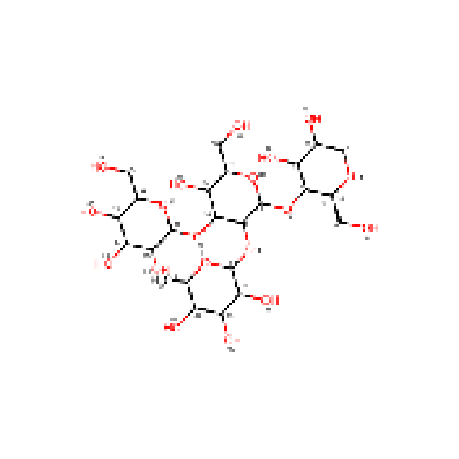 CC1OC(OC2C(OC3C(O)C(O)CO[C@H]3CO)OC(CO)C(O)C2OC2OC(CO)C(O)C(O)C2O)C(O)C(O)C1O